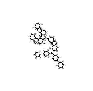 c1ccc(-c2ccc(N(c3ccc(-c4ccccc4)cc3)c3ccc4sc5ccc(-n6c7ccc8c9ccccc9sc8c7c7c8c(ccc76)sc6ccccc68)cc5c4c3)cc2)cc1